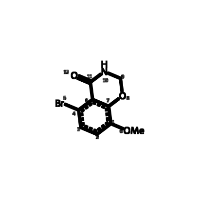 COc1ccc(Br)c2c1OCNC2=O